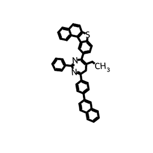 CCC1=C(c2ccc3sc4ccc5ccccc5c4c3c2)N=C(c2ccccc2)N=C(c2ccc(-c3ccc4ccccc4c3)cc2)C1